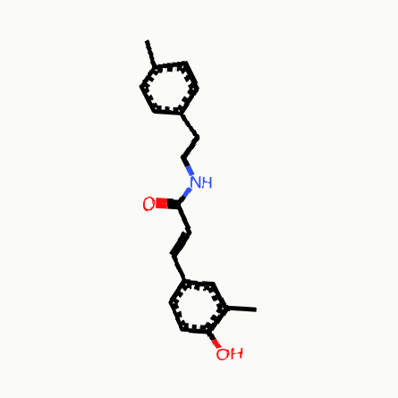 Cc1ccc(CCNC(=O)/C=C/c2ccc(O)c(C)c2)cc1